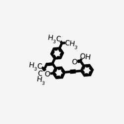 CC(C)c1ccc(C2=CC(C)(C)Oc3ccc(C#Cc4ccccc4C(=O)O)cc32)cc1